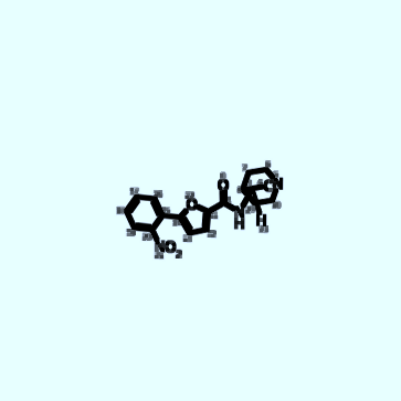 O=C(N[C@H]1CN2CCC1CC2)c1ccc(-c2ccccc2[N+](=O)[O-])o1